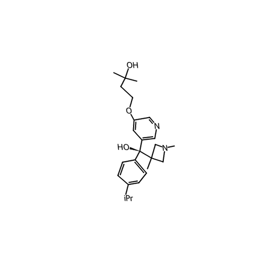 CC(C)c1ccc([C@](O)(c2cncc(OCCC(C)(C)O)c2)C2(C)CN(C)C2)cc1